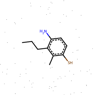 CCCc1c(N)ccc(S)c1C